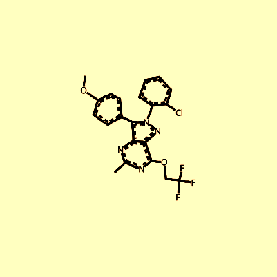 COc1ccc(-c2c3nc(C)nc(OCC(F)(F)F)c3nn2-c2ccccc2Cl)cc1